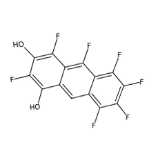 Oc1c(F)c(O)c2cc3c(F)c(F)c(F)c(F)c3c(F)c2c1F